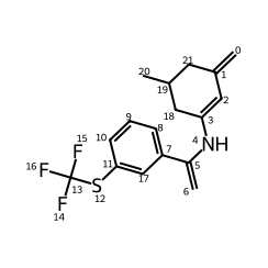 C=C1C=C(NC(=C)c2cccc(SC(F)(F)F)c2)CC(C)C1